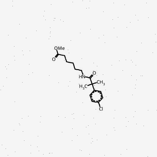 COC(=O)CCCCCNC(=O)C(C)(C)c1ccc(Cl)cc1